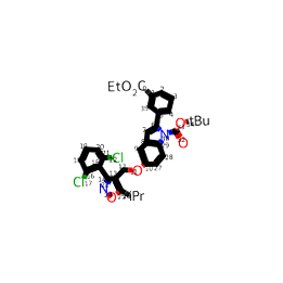 CCOC(=O)c1cccc(-c2cc3cc(OCc4c(-c5c(Cl)cccc5Cl)noc4C(C)C)ccc3n2C(=O)OC(C)(C)C)c1